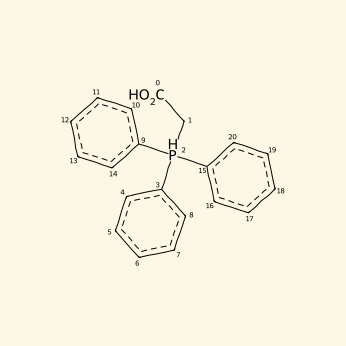 O=C(O)C[PH](c1ccccc1)(c1ccccc1)c1ccccc1